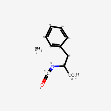 B.O=C=NC(Cc1ccccc1)C(=O)O